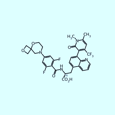 Cc1cc(C(F)(F)F)c(-c2ccc(C[C@H](NC(=O)c3c(F)cc(N4CCOC5(COC5)C4)cc3F)C(=O)O)c3cccnc23)c(=O)n1C